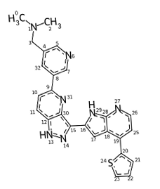 CN(C)Cc1cncc(-c2ccc3[nH]nc(-c4cc5c(-c6cccs6)ccnc5[nH]4)c3n2)c1